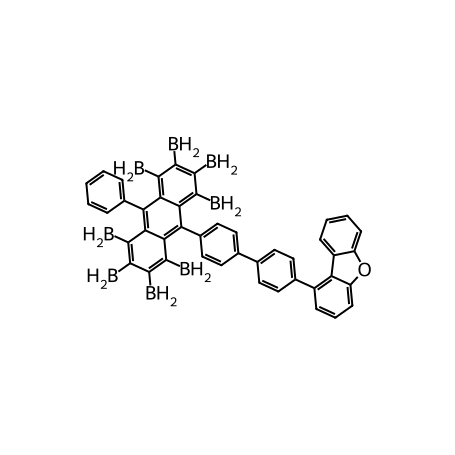 Bc1c(B)c(B)c2c(-c3ccc(-c4ccc(-c5cccc6oc7ccccc7c56)cc4)cc3)c3c(B)c(B)c(B)c(B)c3c(-c3ccccc3)c2c1B